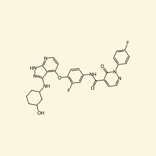 O=C(Nc1ccc(Oc2ccnc3[nH]nc(NC4CCCC(O)C4)c23)c(F)c1)c1ccnn(-c2ccc(F)cc2)c1=O